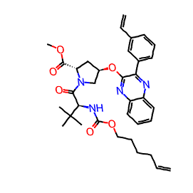 C=CCCCCOC(=O)N[C@H](C(=O)N1C[C@H](Oc2nc3ccccc3nc2-c2cccc(C=C)c2)C[C@H]1C(=O)OC)C(C)(C)C